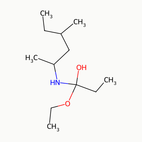 CCOC(O)(CC)NC(C)CC(C)CC